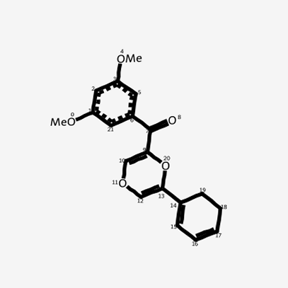 COc1cc(OC)cc(C(=O)C2=COC=C(C3=CC=CCC3)O2)c1